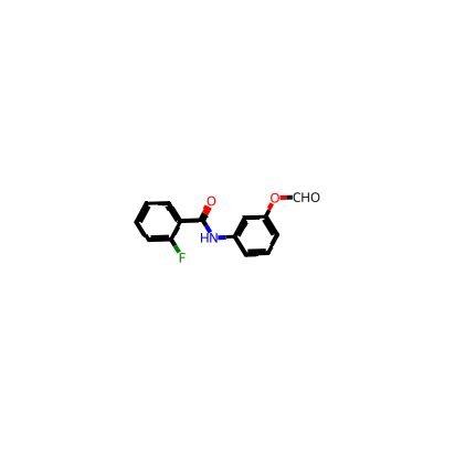 O=COc1cccc(NC(=O)c2ccccc2F)c1